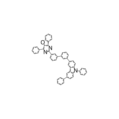 c1ccc(-c2ccc3c(c2)c2cc(-c4cccc(-c5cccc(-c6nc(-c7ccccc7)c7oc8ccccc8c7n6)c5)c4)ccc2n3-c2ccccc2)cc1